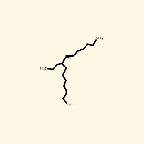 [CH2]CCCC/C=C/C(CCC)CCCCCC[CH2]